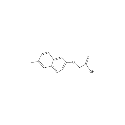 Cc1ccc2cc(OCC(=O)O)ccc2c1